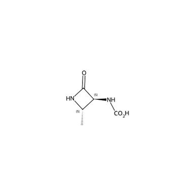 C[C@@H]1NC(=O)[C@H]1NC(=O)O